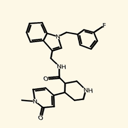 Cn1ccc(C2CCNCC2C(=O)NCc2cn(Cc3cccc(F)c3)c3ccccc23)cc1=O